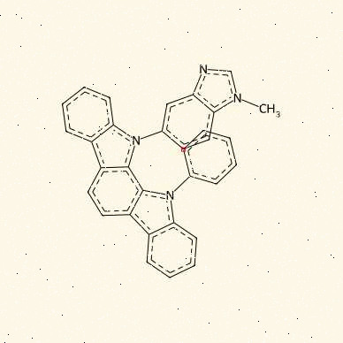 Cn1cnc2cc(-n3c4ccccc4c4ccc5c6ccccc6n(-c6ccccc6)c5c43)ccc21